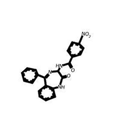 O=C(NC1N=C(c2ccccc2)c2ccccc2NC1=O)c1ccc([N+](=O)[O-])cc1